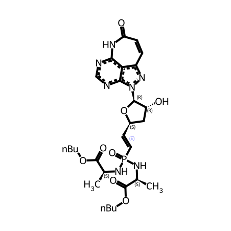 CCCCOC(=O)[C@H](C)NP(=O)(/C=C/[C@@H]1C[C@@H](O)[C@H](n2nc3c4c(ncnc42)NC(=O)C=C3)O1)N[C@@H](C)C(=O)OCCCC